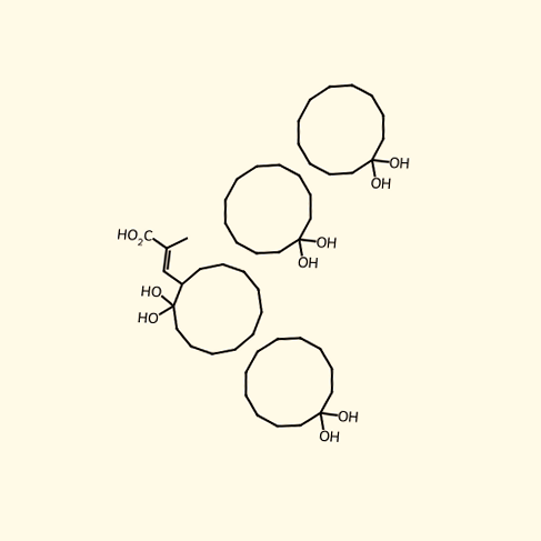 CC(=CC1CCCCCCCCCCC1(O)O)C(=O)O.OC1(O)CCCCCCCCCCC1.OC1(O)CCCCCCCCCCC1.OC1(O)CCCCCCCCCCC1